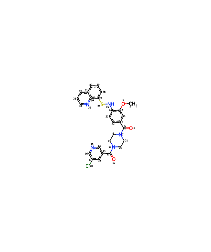 COc1cc(C(=O)N2CCN(C(=O)c3cncc(Cl)c3)CC2)ccc1NSc1cccc2cccnc12